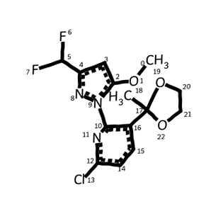 COc1cc(C(F)F)nn1-c1nc(Cl)ccc1C1(C)OCCO1